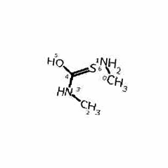 CN.CNC(O)=S